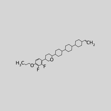 C=CC1CCC(C2CCC(C3CCC(C4CCC(c5ccc(OCCC)c(F)c5F)CO4)CC3)CC2)CC1